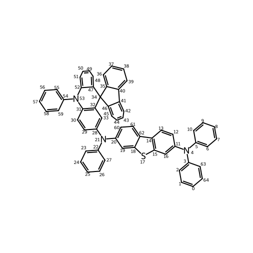 c1ccc(N(c2ccccc2)c2ccc3c(c2)sc2cc(N(c4ccccc4)c4ccc5c(c4)C4(c6ccccc6-c6ccccc64)c4ccccc4N5c4ccccc4)ccc23)cc1